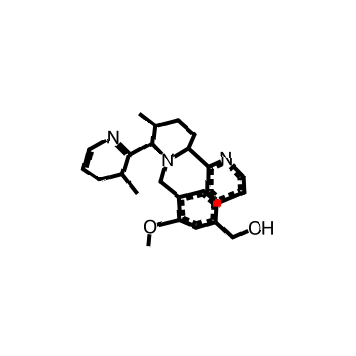 COc1cc(CO)ccc1CN1C(c2ccccn2)CCC(C)C1C1=NC=CCC1C